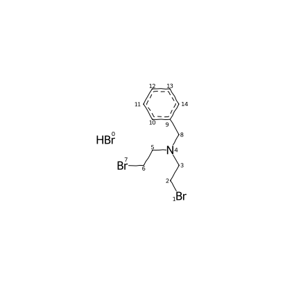 Br.BrCCN(CCBr)Cc1ccccc1